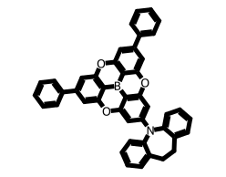 c1ccc(-c2cc3c4c(c2)Oc2cc(N5c6ccccc6CCc6ccccc65)cc5c2B4c2c(cc(-c4ccccc4)cc2O5)O3)cc1